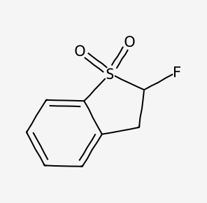 O=S1(=O)c2ccccc2CC1F